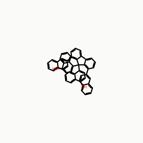 Oc1ccc(C2(c3ccc(O)c4ccccc34)c3c(-c4ccc5ccccc5c4)cccc3-c3cccc(-c4ccc5ccccc5c4)c32)c2ccccc12